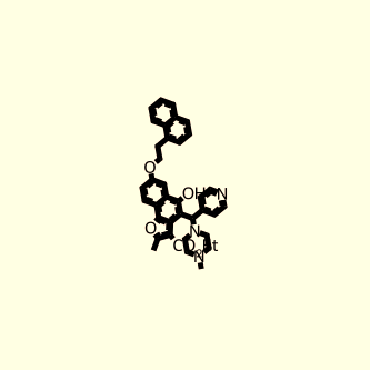 CCOC(=O)c1c(C)oc2c1c(C(c1ccncc1)N1CCN(C)CC1)c(O)c1cc(OCCc3cccc4ccccc34)ccc12